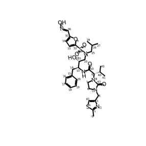 Cc1nc(CN2CCN([C@H](C(=O)N[C@@H](Cc3ccccc3)[C@H](O)CN(CC(C)C)S(=O)(=O)c3ccc(/C=N/O)o3)C(C)C)C2=O)cs1